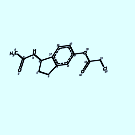 CC(=O)NC1CCc2cc(OC(=O)CCl)ccc21